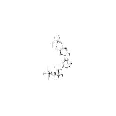 CN1Cc2cc(-c3cc(-c4noc(C(F)(F)F)n4)ccn3)ncc2CC1=O